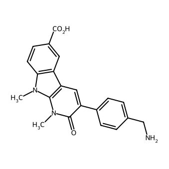 Cn1c(=O)c(-c2ccc(CN)cc2)cc2c3cc(C(=O)O)ccc3n(C)c21